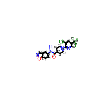 O=C(Nc1ccc2oncc2c1)C1CCN(c2ncc(C(F)(F)F)cc2Cl)CC1